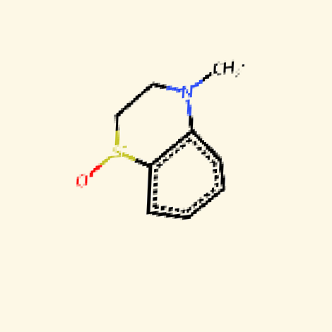 [CH2]N1CC[S+]([O-])c2ccccc21